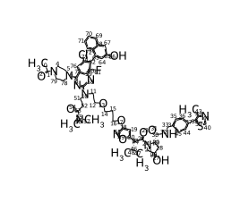 CC(=O)N1CCN(c2nc(N(CCOCCCOc3cc([C@H](C(=O)N4C[C@H](O)C[C@H]4C(=O)NCc4ccc(-c5scnc5C)cc4)C(C)C)on3)CCC(=O)N(C)C)nc3c(F)c(-c4cc(O)cc5ccccc45)c(Cl)cc23)CC1